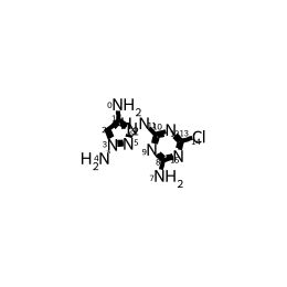 Nc1cn(N)nn1.Nc1nc(N)nc(Cl)n1